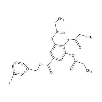 CCC(=O)Oc1cc(C(=O)OCc2cccc(F)c2)cc(OC(=O)CC)c1OC(=O)CC